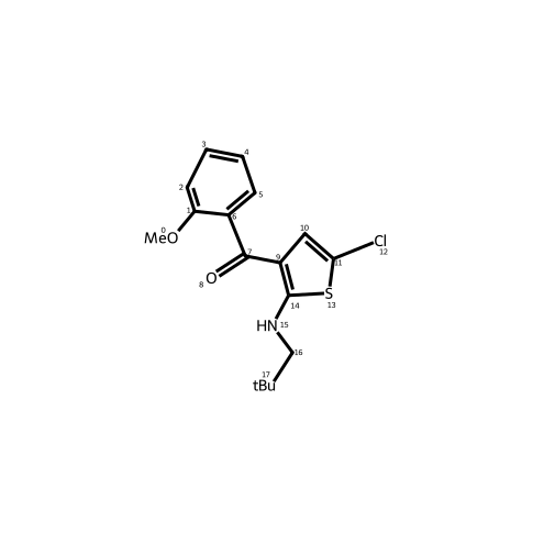 COc1ccccc1C(=O)c1cc(Cl)sc1NCC(C)(C)C